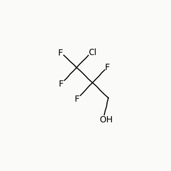 OCC(F)(F)C(F)(F)Cl